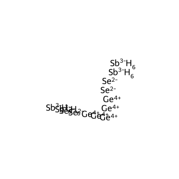 [Ge+4].[Ge+4].[Ge+4].[Ge+4].[Ge+4].[SbH6-3].[SbH6-3].[SbH6-3].[SbH6-3].[Se-2].[Se-2].[Se-2].[Se-2]